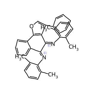 Cc1cccc(C)c1/N=C1/C(=N/c2c(C)cccc2C)c2c(-c3ccccc3)coc2-c2ccccc21